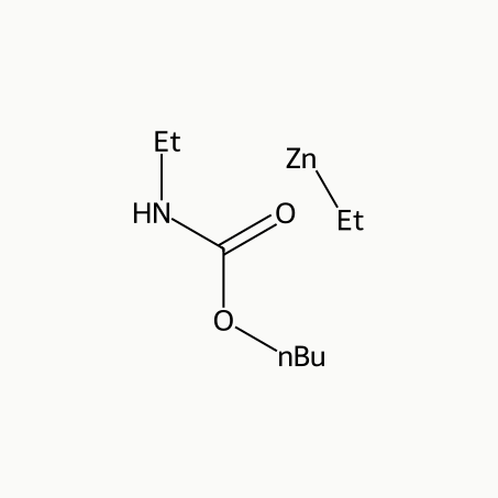 CCCCOC(=O)NCC.C[CH2][Zn]